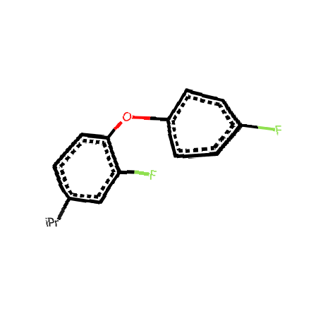 CC(C)c1ccc(Oc2ccc(F)cc2)c(F)c1